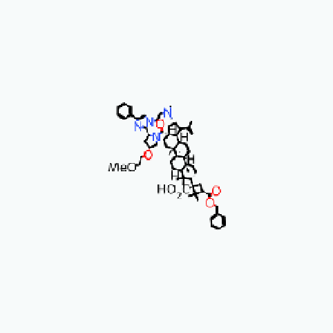 C=C(C)C1CC[C@]2(C(=O)N3C[C@H](OCCOC)C[C@H]3c3nc(-c4ccccc4)cn3CCN(C)C)CC[C@]3(C)[C@H](CC[C@@H]4[C@]5(C)CC[C@H]([C@@]6(C(=O)O)C[C@@H](C(=O)OCc7ccccc7)C6(C)C)C(C)(C)[C@H]5CC[C@]43C)[C@@H]12